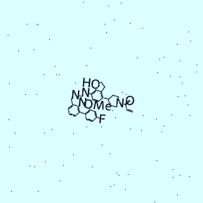 C=CC(=O)N1CCC(c2ccc(Nc3ncc4cccc(-c5ccc(F)cc5OC)c4n3)c3c2CCO3)CC1